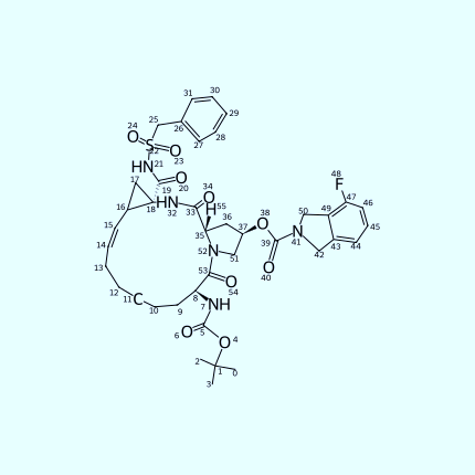 CC(C)(C)OC(=O)N[C@H]1CCCCC/C=C\C2C[C@@]2(C(=O)NS(=O)(=O)Cc2ccccc2)NC(=O)[C@@H]2C[C@@H](OC(=O)N3Cc4cccc(F)c4C3)CN2C1=O